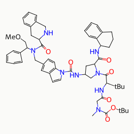 COCC(c1ccccc1)N(Cc1ccc2c(ccn2C(=O)NC2CC(C(=O)NC3CCCc4ccccc43)N(C(=O)C(NC(=O)CN(C)C(=O)OC(C)(C)C)C(C)(C)C)C2)c1)C(=O)C1Cc2ccccc2CN1